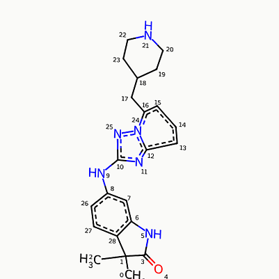 CC1(C)C(=O)Nc2cc(Nc3nc4cccc(CC5CCNCC5)n4n3)ccc21